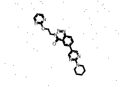 O=c1c2cc(-c3cnc(N4CCCCC4)nc3)ccc2nnn1CCOc1ncccn1